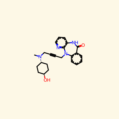 CN(CC#CCN1c2ccccc2C(=O)Nc2cccnc21)[C@H]1CC[C@H](O)CC1